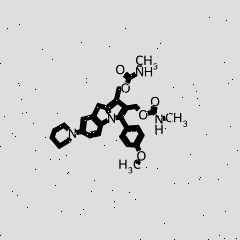 CNC(=O)OCc1c(COC(=O)NC)c(-c2ccc(OC)cc2)n2c1Cc1cc(N3CCCCC3)ccc1-2